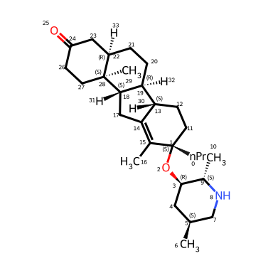 CCC[C@]1(O[C@@H]2C[C@H](C)CN[C@H]2C)CC[C@@H]2C(=C1C)C[C@H]1[C@H]2CC[C@@H]2CC(=O)CC[C@@]21C